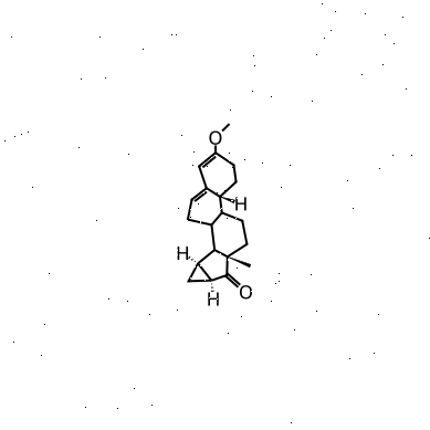 COC1=CC2=CCC3C(CC[C@]4(C)C(=O)[C@H]5C[C@H]5C34)[C@H]2CC1